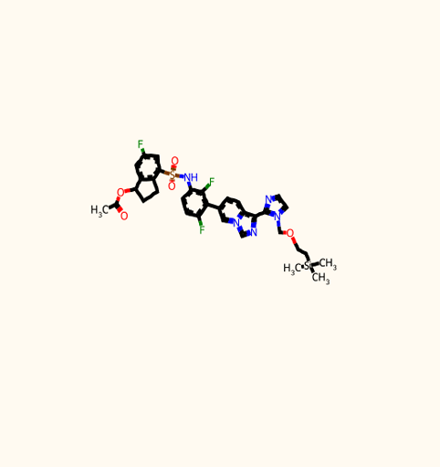 CC(=O)OC1CCc2c1cc(F)cc2S(=O)(=O)Nc1ccc(F)c(-c2ccc3c(-c4nccn4COCC[Si](C)(C)C)ncn3c2)c1F